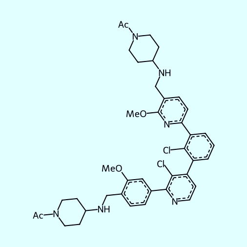 COc1cc(-c2nccc(-c3cccc(-c4ccc(CNC5CCN(C(C)=O)CC5)c(OC)n4)c3Cl)c2Cl)ccc1CNC1CCN(C(C)=O)CC1